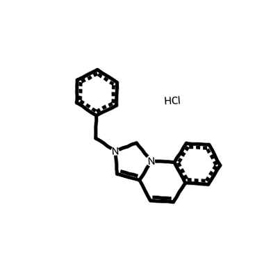 C1=Cc2ccccc2N2CN(Cc3ccccc3)C=C12.Cl